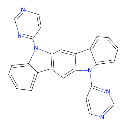 c1ccc2c(c1)c1cc3c(cc1n2-c1ccncn1)c1ccccc1n3-c1ccncn1